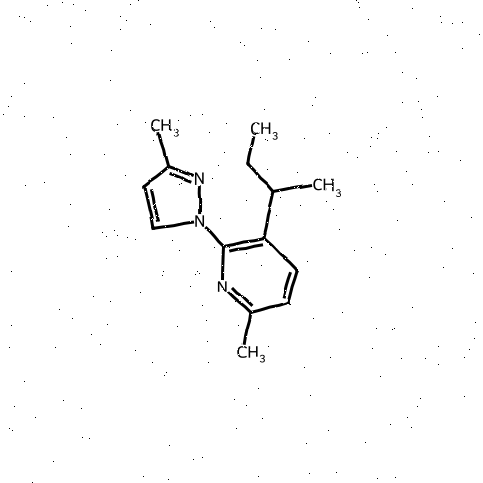 CCC(C)c1ccc(C)nc1-n1ccc(C)n1